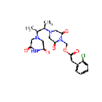 CC(C(C)N1CC(=O)N(COC(=O)Cc2ccccc2Cl)C(=O)C1)N1CC(=O)NC(=O)C1